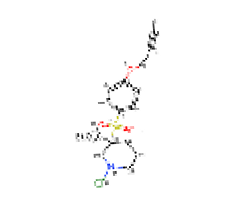 CC#CCOc1ccc(S(=O)(=O)C2(C(=O)OCC)CCCN(Cl)C2)cc1